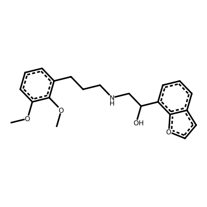 COc1cccc(CCCNCC(O)c2cccc3ccoc23)c1OC